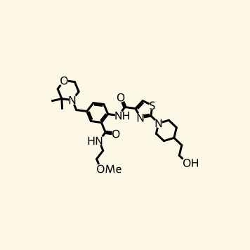 COCCNC(=O)c1cc(CN2CCOCC2(C)C)ccc1NC(=O)c1csc(N2CCC(CCO)CC2)n1